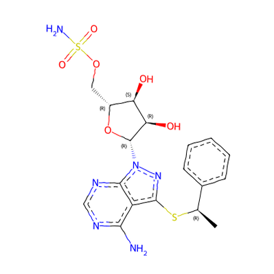 C[C@@H](Sc1nn([C@@H]2O[C@H](COS(N)(=O)=O)[C@@H](O)[C@H]2O)c2ncnc(N)c12)c1ccccc1